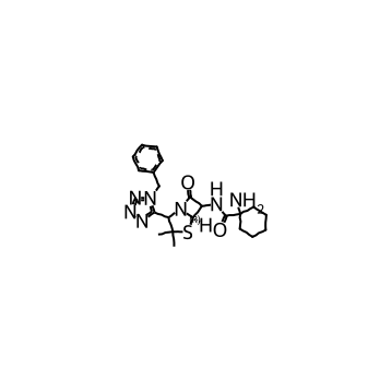 CC1(C)S[C@@H]2C(NC(=O)C3(N)CCCCC3)C(=O)N2C1c1nnnn1Cc1ccccc1